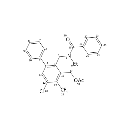 CCN(Cc1c(-c2ccccc2)cc(Cl)c(C(F)(F)F)c1COC(C)=O)C(=O)c1ccccc1